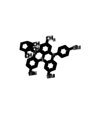 Cc1cc2c3c(c1)N(C1CC4CCC1(C)C4(C)C)c1ccc(C(C)(C)C)cc1B3c1cc(C(C)(C)C)ccc1N2c1ccc(C(C)(C)C)cc1